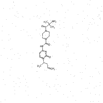 C=CCC(C)n1ccc(NC(=O)N2CCN(C(=O)C(C)(C)N)CC2)nc1=O